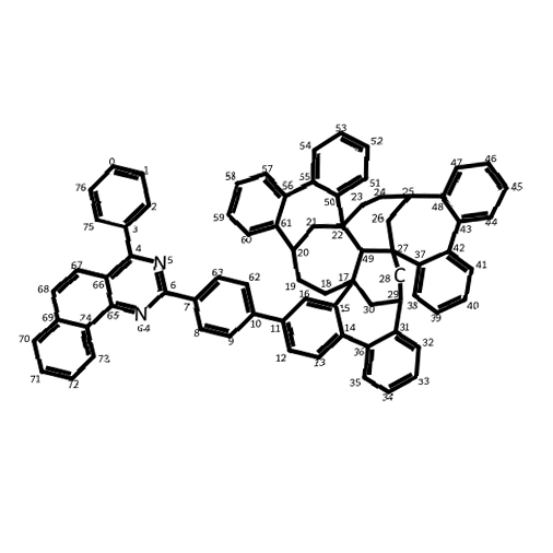 c1ccc(-c2nc(-c3ccc(-c4ccc5c(c4)C46CCC7CC8(CCC9CC(CC(C4)c4ccccc4-5)(c4ccccc4-c4ccccc49)C86)c4ccccc4-c4ccccc47)cc3)nc3c2ccc2ccccc23)cc1